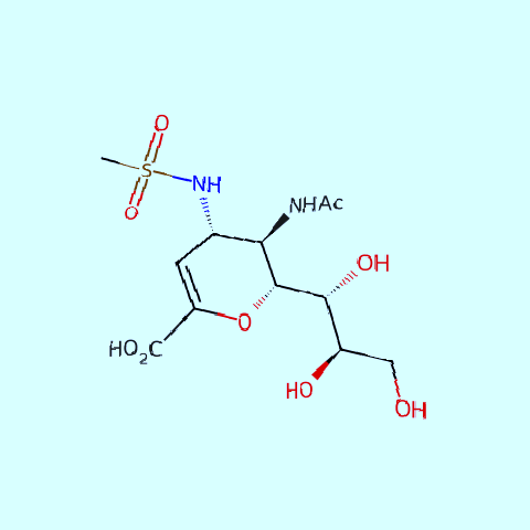 CC(=O)N[C@H]1[C@H]([C@H](O)[C@H](O)CO)OC(C(=O)O)=C[C@@H]1NS(C)(=O)=O